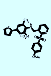 COc1ccc(S(=O)(=O)c2ncccc2CNc2c(C)cc(-c3cccs3)cc2C(=O)O)cc1